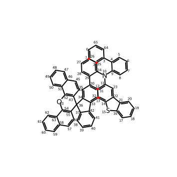 c1ccc(-c2ccccc2N(c2ccc3sc4ccccc4c3c2)c2ccccc2-c2ccc3c(c2)C2(c4ccccc4-3)c3ccc4ccccc4c3Oc3c2ccc2ccccc32)cc1